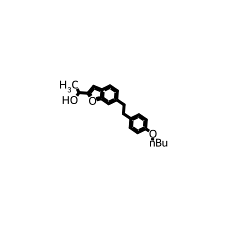 CCCCOc1ccc(CCc2ccc3cc(C(C)O)oc3c2)cc1